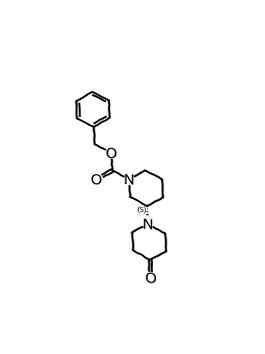 O=C1CCN([C@H]2CCCN(C(=O)OCc3ccccc3)C2)CC1